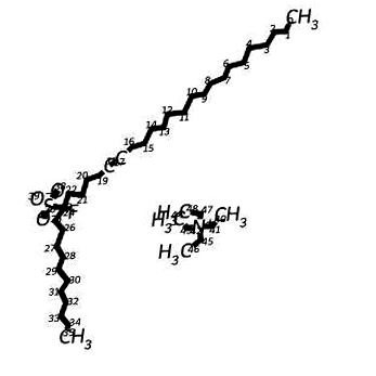 CCCCCCCCCCCCCCCCCCCCCCCC(F)(CCCCCCCCCCC)S(=O)(=O)[O-].CC[N+](CC)(CC)CC